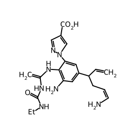 C=CC(C/C=C\N)c1cc(N)c(NC(=C)NC(=O)NCC)c(-n2cc(C(=O)O)cn2)c1